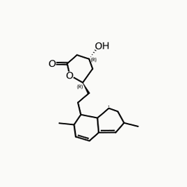 CC1C=C2C=CC(C)C(CC[C@@H]3C[C@@H](O)CC(=O)O3)C2[CH]C1